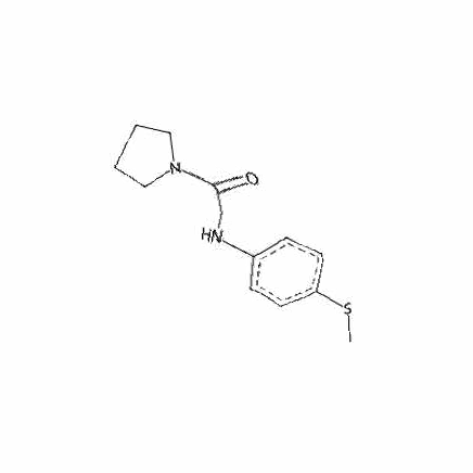 CSc1ccc(NC(=O)N2CCCC2)cc1